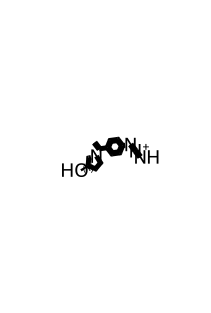 C=C(c1ccc(N=[N+]=N)cc1)N1CC[C@@H](O)C1